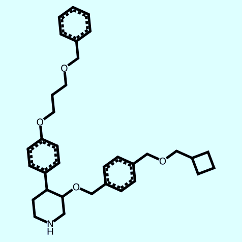 c1ccc(COCCCOc2ccc(C3CCNCC3OCc3ccc(COCC4CCC4)cc3)cc2)cc1